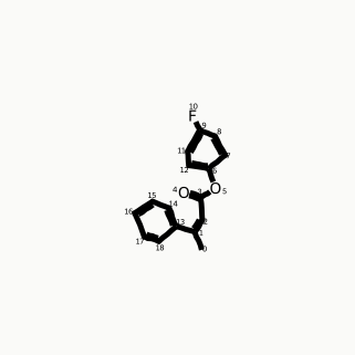 CC(=CC(=O)Oc1ccc(F)cc1)c1ccccc1